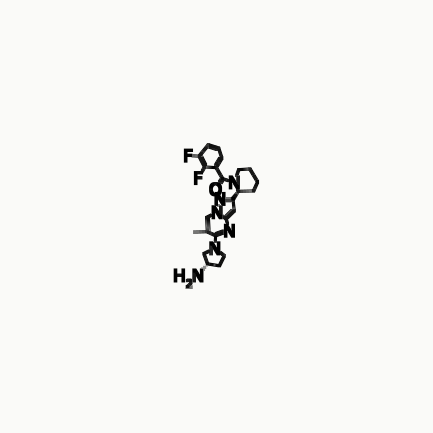 Cc1cn2nc([C@@H]3CCCCN3C(=O)c3cccc(F)c3F)cc2nc1N1CC[C@H](N)C1